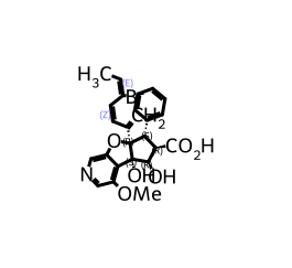 C=C(/C=C\C(Br)=C/C)[C@@]12Oc3cncc(OC)c3[C@]1(O)[C@H](O)[C@H](C(=O)O)[C@H]2c1ccccc1